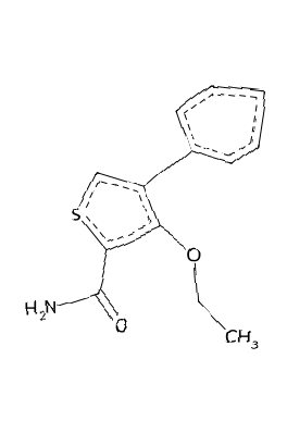 CCOc1c(-c2ccccc2)csc1C(N)=O